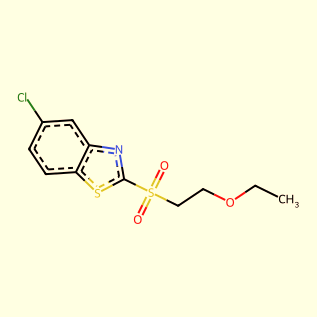 CCOCCS(=O)(=O)c1nc2cc(Cl)ccc2s1